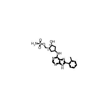 Cc1ccccc1-c1nc2c(NC3C[C@@H](COS(N)(=O)=O)[C@@H](O)C3)ncnc2[nH]1